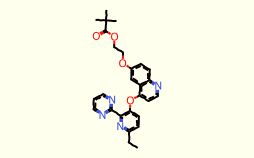 CCc1ccc(Oc2ccnc3ccc(OCCOC(=O)C(C)(C)C)cc23)c(-c2ncccn2)n1